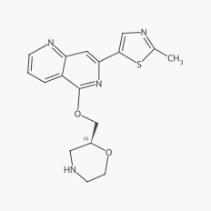 Cc1ncc(-c2cc3ncccc3c(OC[C@@H]3CNCCO3)n2)s1